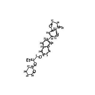 CCC(COc1ccc2nc(-c3cnc4c(c3)OCCN4C)ccc2c1)OC1CCCCO1